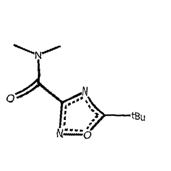 CN(C)C(=O)c1noc(C(C)(C)C)n1